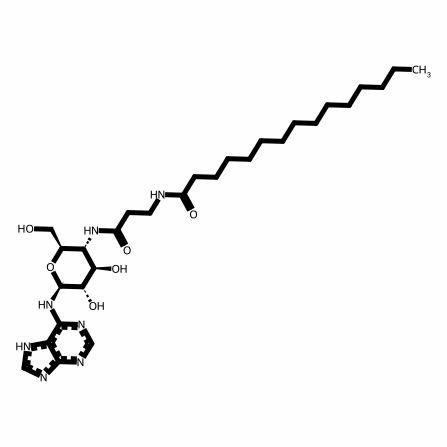 CCCCCCCCCCCCCCC(=O)NCCC(=O)N[C@@H]1[C@@H](O)[C@H](O)[C@@H](Nc2ncnc3nc[nH]c23)O[C@H]1CO